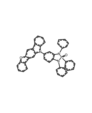 O=P1(c2ccccc2)N(c2ccccc2)c2ccc(-n3c4ccccc4c4cc5oc6ccccc6c5cc43)cc2N1c1ccccc1